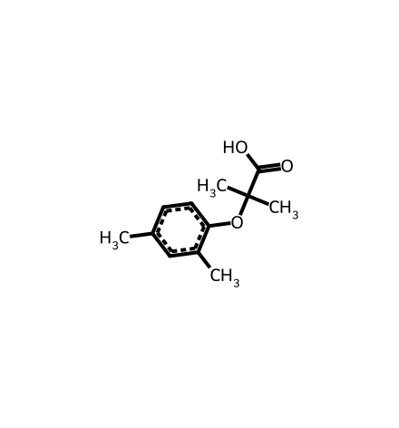 Cc1ccc(OC(C)(C)C(=O)O)c(C)c1